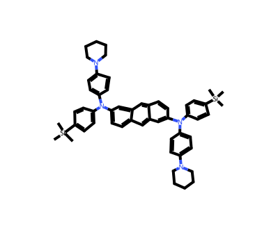 C[Si](C)(C)c1ccc(N(c2ccc(N3CCCCC3)cc2)c2ccc3cc4cc(N(c5ccc(N6CCCCC6)cc5)c5ccc([Si](C)(C)C)cc5)ccc4cc3c2)cc1